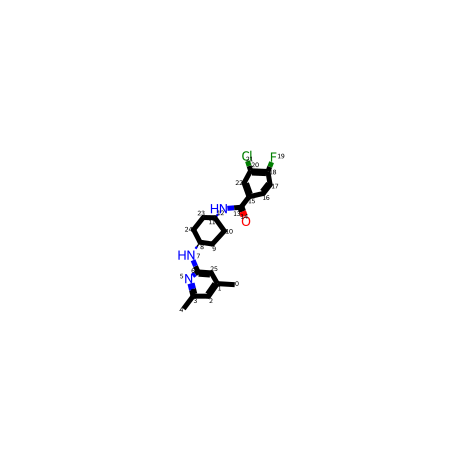 Cc1cc(C)nc(N[C@H]2CC[C@@H](NC(=O)c3ccc(F)c(Cl)c3)CC2)c1